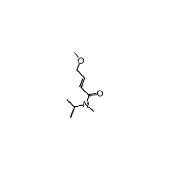 COC/C=C/C(=O)N(C)C(C)C